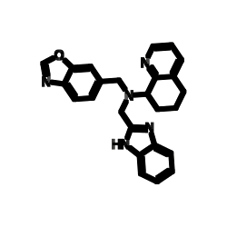 c1cnc2c(c1)CCCC2N(Cc1ccc2ncoc2c1)Cc1nc2ccccc2[nH]1